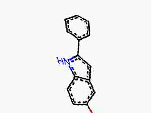 Oc1ccc2[nH]c(-c3ccccc3)cc2c1